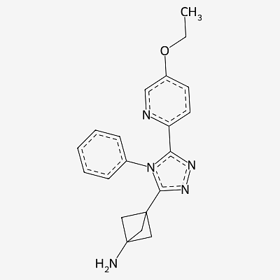 CCOc1ccc(-c2nnc(C34CC(N)(C3)C4)n2-c2ccccc2)nc1